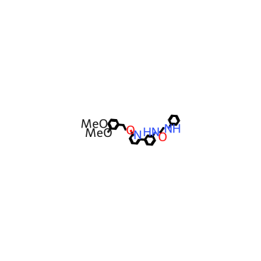 COc1ccc(CCOc2cccc(-c3cccc(NC(=O)CNc4ccccc4)c3)n2)cc1OC